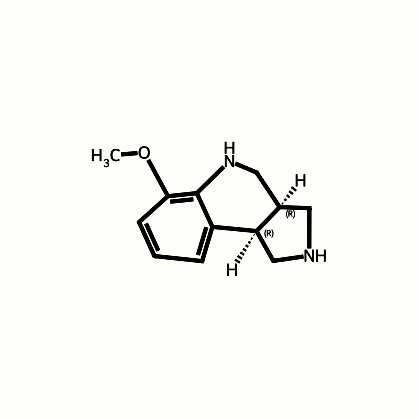 COc1cccc2c1NC[C@H]1CNC[C@@H]21